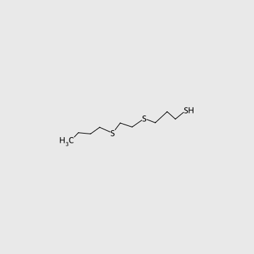 CCCCSCCSCCCS